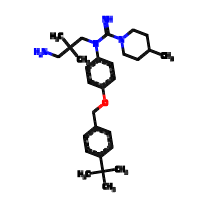 CC1CCN(C(=N)N(CC(C)(C)CN)c2ccc(OCc3ccc(C(C)(C)C)cc3)cc2)CC1